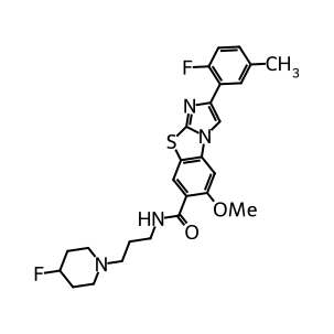 COc1cc2c(cc1C(=O)NCCCN1CCC(F)CC1)sc1nc(-c3cc(C)ccc3F)cn12